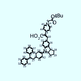 CC(C)(C)OC(=O)C[n+]1ccc(/C(=C/c2ccc3c(c2)C2CCCC2N3C2=CCC(CC(c3ccccc3)c3ccccc3)C=C2)C(=O)O)cc1